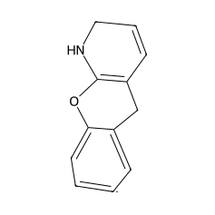 [c]1ccc2c(c1)CC1=C(NCC=C1)O2